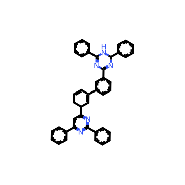 C1=CC(c2cccc(C3=NC(c4ccccc4)NC(c4ccccc4)=N3)c2)=CC(c2cc(-c3ccccc3)nc(-c3ccccc3)n2)C1